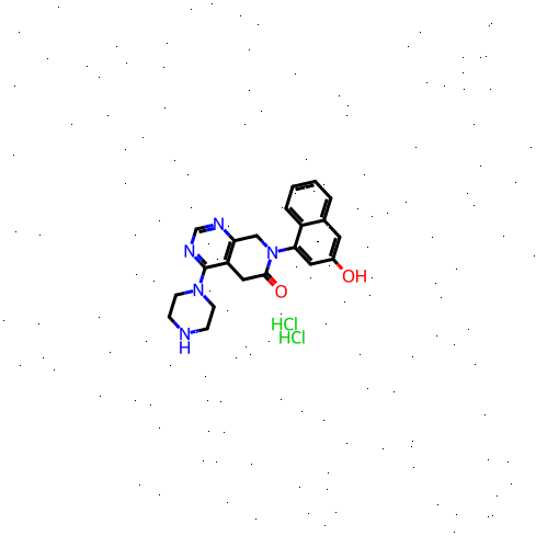 Cl.Cl.O=C1Cc2c(ncnc2N2CCNCC2)CN1c1cc(O)cc2ccccc12